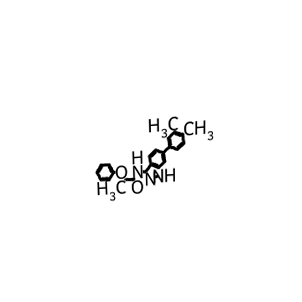 Cc1ccc(-c2ccc3c(NC(=O)C(C)Oc4ccccc4)n[nH]c3c2)cc1C